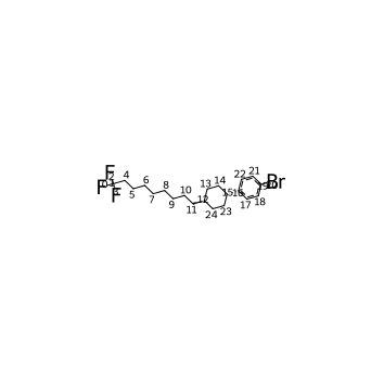 FC(F)(F)CCCCCCCC[C@H]1CC[C@H](c2ccc(Br)cc2)CC1